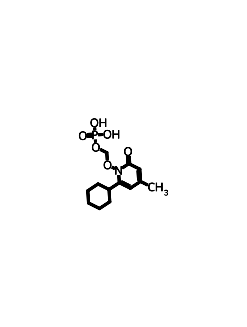 Cc1cc(C2CCCCC2)n(OCOP(=O)(O)O)c(=O)c1